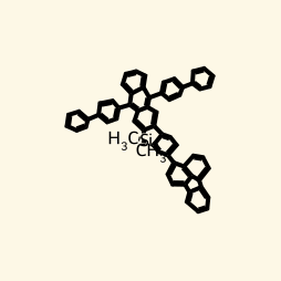 C[Si]1(C)c2cc(-c3ccc4c5c(cccc35)-c3ccccc3-4)ccc2-c2cc3c(-c4ccc(-c5ccccc5)cc4)c4ccccc4c(-c4ccc(-c5ccccc5)cc4)c3cc21